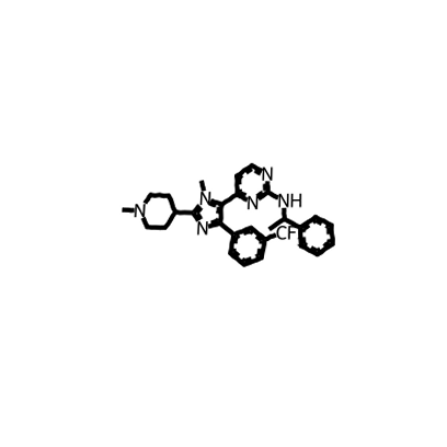 CC(Nc1nccc(-c2c(-c3cccc(C(F)(F)F)c3)nc(C3CCN(C)CC3)n2C)n1)c1ccccc1